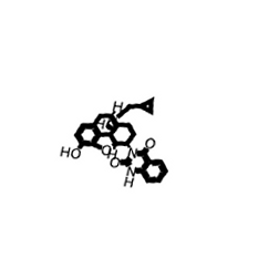 O=c1[nH]c2ccccc2c(=O)n1[C@@H]1CC[C@@]2(O)[C@H]3Cc4ccc(O)c5c4[C@@]2(CCN3CC2CC2)[C@H]1O5